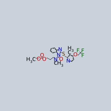 CCOC(=O)OCCCN(C)C(=O)n1c(SCc2nccc(OCC(F)(F)F)c2C)nc2ccccc21